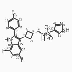 O=S(=O)(NC[C@H]1C[C@H](c2c(-c3ccc(F)cc3)[nH]c3c(F)cc(F)cc32)C1)c1cn[nH]c1